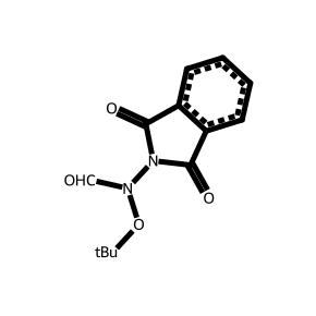 CC(C)(C)ON(C=O)N1C(=O)c2ccccc2C1=O